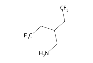 NCC(CC(F)(F)F)CC(F)(F)F